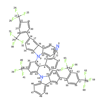 N#Cc1cccc(-c2c(-n3c4ccccc4c4cc(-c5ccc(C(F)(F)F)cc5C(F)(F)F)ccc43)cc(C(F)(F)F)cc2-n2c3ccccc3c3cc(-c4ccc(C(F)(F)F)cc4C(F)(F)F)ccc32)c1